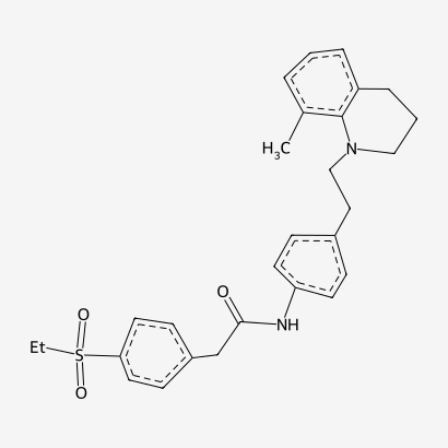 CCS(=O)(=O)c1ccc(CC(=O)Nc2ccc(CCN3CCCc4cccc(C)c43)cc2)cc1